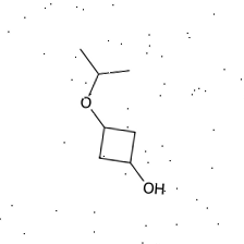 CC(C)OC1CC(O)C1